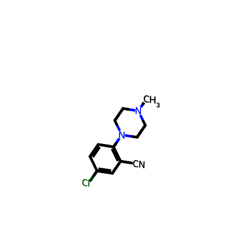 CN1CCN(c2ccc(Cl)cc2C#N)CC1